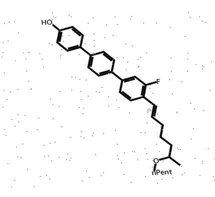 CCCCCOC(C)CCC/C=C/c1ccc(-c2ccc(-c3ccc(O)cc3)cc2)cc1F